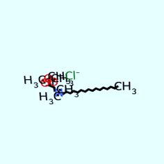 CCCCCCCCCCCCCCCC[N+](C)(C)CCC[Si](OC)(OC)OC.[Cl-]